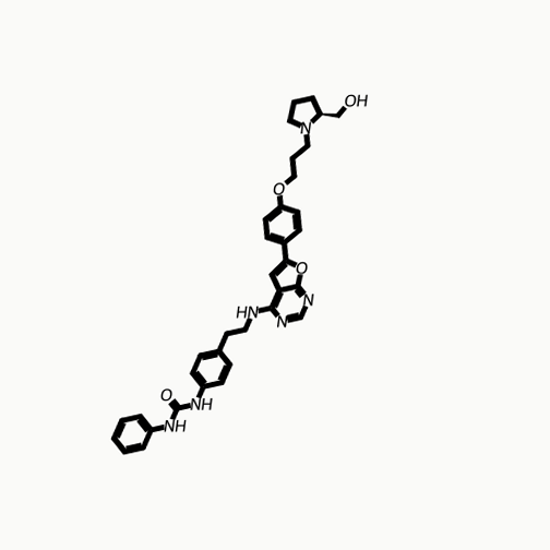 O=C(Nc1ccccc1)Nc1ccc(CCNc2ncnc3oc(-c4ccc(OCCCN5CCC[C@H]5CO)cc4)cc23)cc1